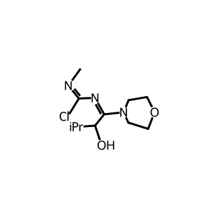 C/N=C(Cl)\N=C(/C(O)C(C)C)N1CCOCC1